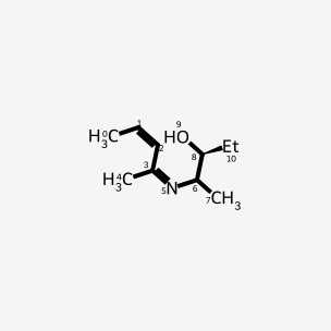 C/C=C\C(C)=N/C(C)[C@@H](O)CC